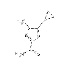 Cn1nc(C(N)=O)cc1C1CC1